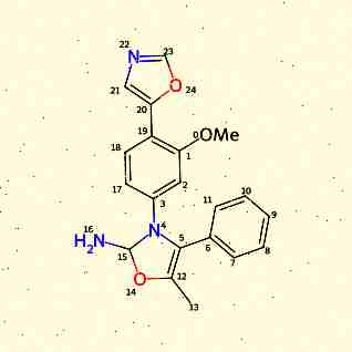 COc1cc(N2C(c3ccccc3)=C(C)OC2N)ccc1-c1cnco1